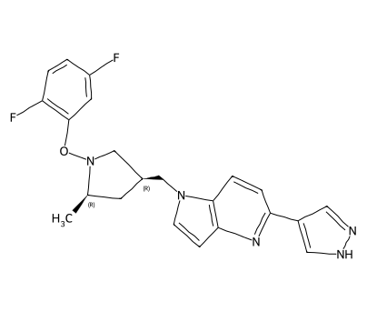 C[C@@H]1C[C@H](Cn2ccc3nc(-c4cn[nH]c4)ccc32)CN1Oc1cc(F)ccc1F